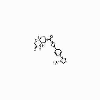 O=C1CO[C@H]2CCN(C(=O)N3CC(c4ccc(N5CCC[C@@H]5C(F)(F)F)cc4)C3)C[C@H]2N1